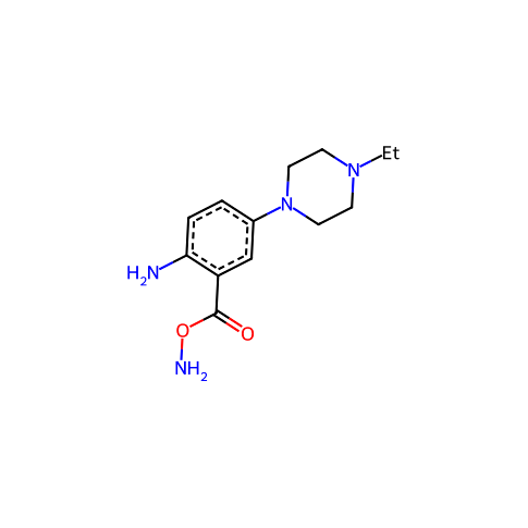 CCN1CCN(c2ccc(N)c(C(=O)ON)c2)CC1